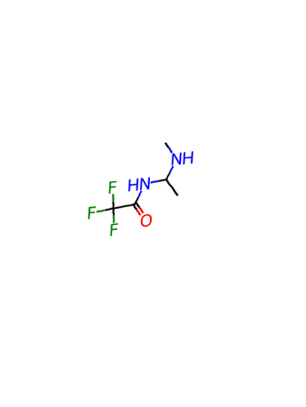 CNC(C)NC(=O)C(F)(F)F